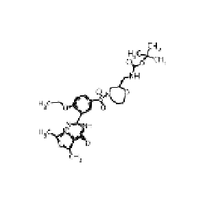 CCOc1ccc(S(=O)(=O)N2CCOC(CNC(=O)OC(C)(C)C)C2)cc1-c1nn2c(C)nc(C)c2c(=O)[nH]1